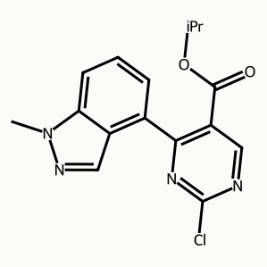 CC(C)OC(=O)c1cnc(Cl)nc1-c1cccc2c1cnn2C